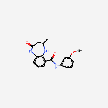 CC1CC(=O)Nc2cccc(C(=O)Nc3cccc(OC(C)C)c3)c2N1